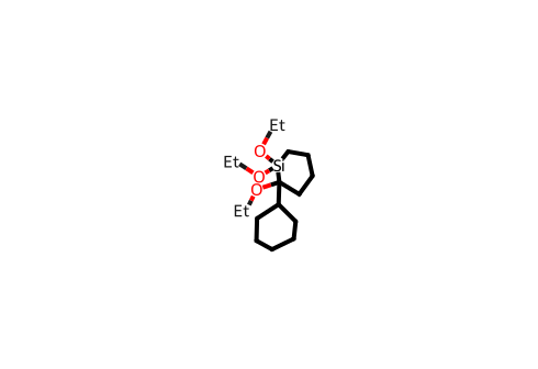 CCOC1(C2CCCCC2)CCCC[Si]1(OCC)OCC